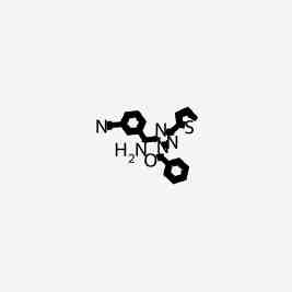 N#Cc1cccc(C(N)c2nc(-c3cccs3)nn2C(=O)c2ccccc2)c1